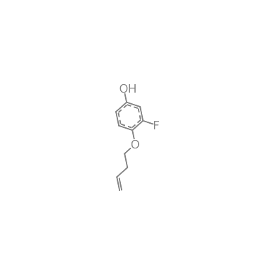 C=CCCOc1ccc(O)cc1F